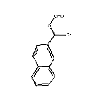 CC(C)C(OC=O)c1ccc2ccccc2c1